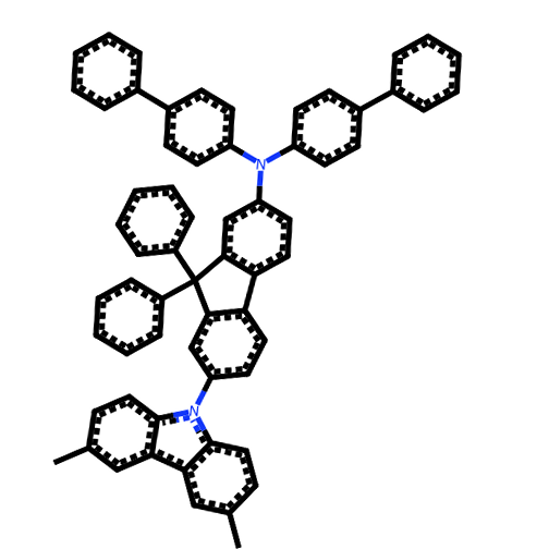 Cc1ccc2c(c1)c1cc(C)ccc1n2-c1ccc2c(c1)C(c1ccccc1)(c1ccccc1)c1cc(N(c3ccc(-c4ccccc4)cc3)c3ccc(-c4ccccc4)cc3)ccc1-2